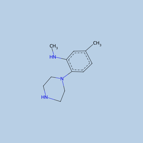 CNc1cc(C)ccc1N1CCNCC1